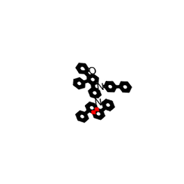 c1ccc(-c2ccc(N(c3ccc4c5c(-c6ccccc6)c6c(cc5n(-c5ccc(-c7ccccc7)cc5)c4c3)oc3ccccc36)c3ccccc3-c3ccccc3)cc2)cc1